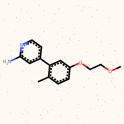 COCCOc1ccc(C)c(-c2ccnc(N)c2)c1